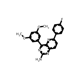 COc1cc(OC)cc(-c2nc(N)nc3ccc(-c4ccc(F)cc4)nc23)c1